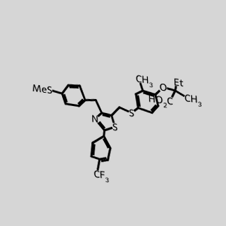 CCC(C)(Oc1ccc(SCc2sc(-c3ccc(C(F)(F)F)cc3)nc2Cc2ccc(SC)cc2)cc1C)C(=O)O